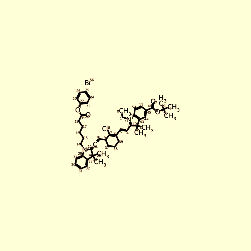 CC[N+]1=C(/C=C/C2=C(Cl)C(C=C=C3N(CCCCCC(=O)Oc4ccccc4)c4ccccc4C3(C)C)CCC2)C(C)(C)c2cc(C(=O)OC(C)(C)C)ccc21.[Br-]